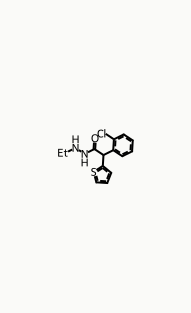 CCNNC(=O)C(c1cccs1)c1ccccc1Cl